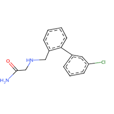 NC(=O)CNCc1ccccc1-c1cccc(Cl)c1